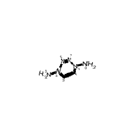 NN1C=CN(N)N=N1